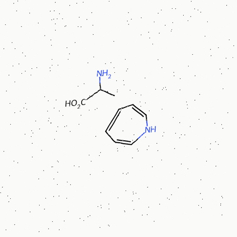 C1=CC=CNC=C1.CC(N)C(=O)O